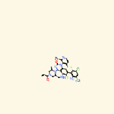 C=CC(=O)N1CC(C)N2c3nc(=O)n(-c4c(C)ccnc4C(C)C)c4cc(-c5c(N)c(Cl)cc(Cl)c5F)c(F)c(c34)NCC2C1